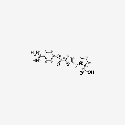 N=C(N)c1ccc(OC(=O)c2ccc(CN3CCC[C@@H]3C(=O)O)s2)cc1